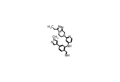 CCc1nnc2n1CCN(c1cc(Nc3cc(-c4cnn(C)c4)ccc3C=N)ccn1)C2